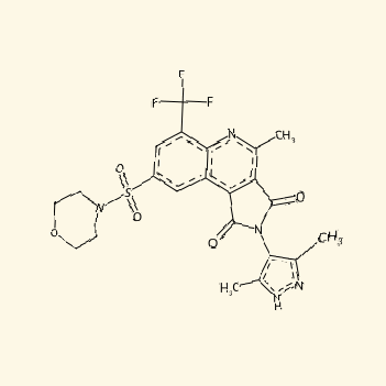 Cc1nc2c(C(F)(F)F)cc(S(=O)(=O)N3CCOCC3)cc2c2c1C(=O)N(c1c(C)n[nH]c1C)C2=O